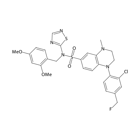 COc1ccc(CN(c2ncns2)S(=O)(=O)c2ccc3c(c2)N(C)CCN3c2ccc(CF)cc2Cl)c(OC)c1